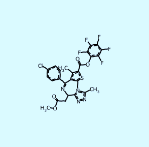 COC(=O)CC1N=C(c2ccc(Cl)cc2)c2c(sc(C(=O)Oc3c(F)c(F)c(F)c(F)c3F)c2C)-n2c(C)nnc21